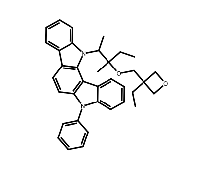 CCC1(COC(C)(CC)C(C)n2c3ccccc3c3ccc4c(c5ccccc5n4-c4ccccc4)c32)COC1